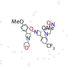 COC[C@H]1CN(C(=O)[C@@H]2CN(C3CCOCC3)C[C@H]2c2ccc(OC)cc2)C[C@@H]1C1=CCC(C(F)(F)F)C=C1N1CCC(C(=O)N(C)C)CC1